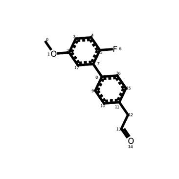 COc1ccc(F)c(-c2ccc(CC=O)cc2)c1